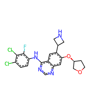 Fc1c(Nc2ncnc3cc(O[C@H]4CCOC4)c(C4CNC4)cc23)ccc(Cl)c1Cl